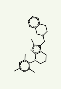 Cc1cc(C)c(N2CCCc3c2nn(C)c3CN2CCc3ccccc3C2)c(C)c1